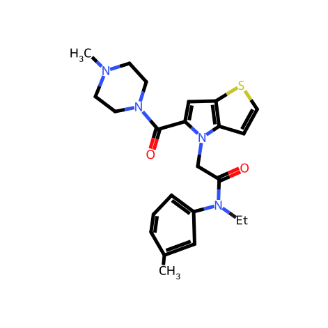 CCN(C(=O)Cn1c(C(=O)N2CCN(C)CC2)cc2sccc21)c1cccc(C)c1